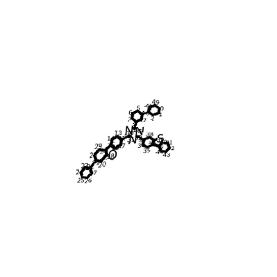 c1ccc(-c2cccc(-c3nc(-c4ccc5c(c4)oc4cc(-c6ccccc6)ccc45)nc(-c4ccc5c(c4)sc4ccccc45)n3)c2)cc1